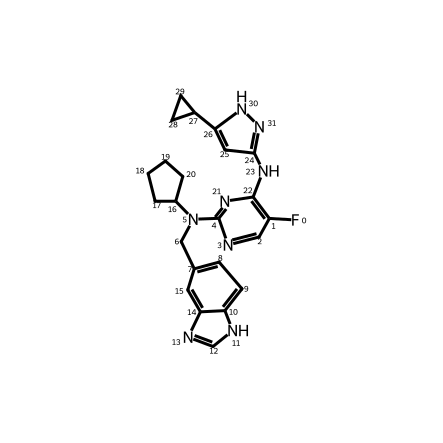 Fc1cnc(N(Cc2ccc3[nH]cnc3c2)C2CCCC2)nc1Nc1cc(C2CC2)[nH]n1